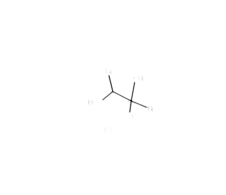 Br.CC(Br)C(C)(C)N